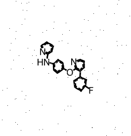 Fc1cccc(-c2cccnc2Oc2ccc(Nc3ccccn3)cc2)c1